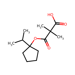 CC(C)C1(OC(=O)C(C)(C)C(=O)O)CCCC1